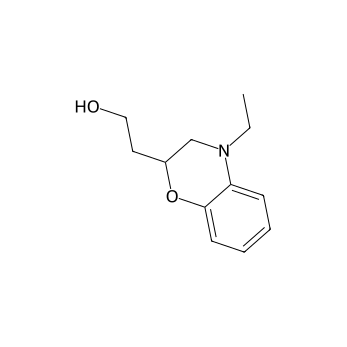 CCN1CC(CCO)Oc2ccccc21